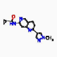 Cn1cc(-c2ccc3cnc(NC(=O)C4CC4)cc3n2)cn1